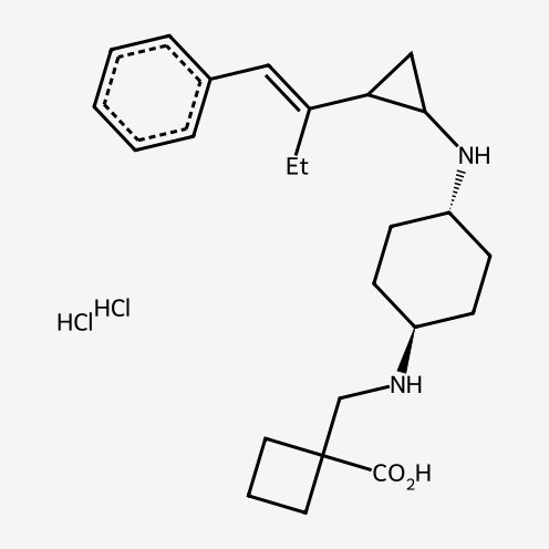 CC/C(=C\c1ccccc1)C1CC1N[C@H]1CC[C@H](NCC2(C(=O)O)CCC2)CC1.Cl.Cl